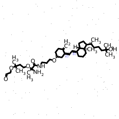 C=C1CC[C@H](OCCCNC(=O)C(C)(N)OCCC(C)(C)OCC=O)C/C1=C/C=C1\CCC[C@]2(C)C([C@H](C)CCCC(C)(C)O)CC[C@@H]12